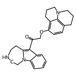 O=C(COc1ccc2c3c1CCCN3CCC2)c1c2n(c3ccccc13)CCNCC2